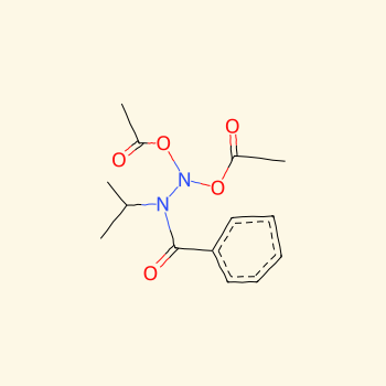 CC(=O)ON(OC(C)=O)N(C(=O)c1ccccc1)C(C)C